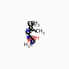 CCC[CH2][Sn]([CH2]CCC)([CH2]CCC)[c]1cc(-c2cc(C3(O)CCN(C)C3=O)on2)ccn1